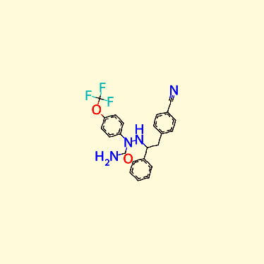 N#Cc1ccc(CC(NN(C(N)=O)c2ccc(OC(F)(F)F)cc2)c2ccccc2)cc1